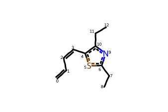 C=C/C=C\c1sc(CC)nc1CC